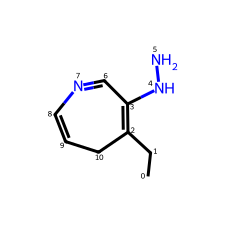 CCC1=C(NN)C=NC=CC1